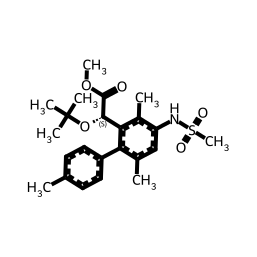 COC(=O)[C@@H](OC(C)(C)C)c1c(C)c(NS(C)(=O)=O)cc(C)c1-c1ccc(C)cc1